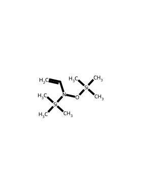 C=CN(O[Si](C)(C)C)[Si](C)(C)C